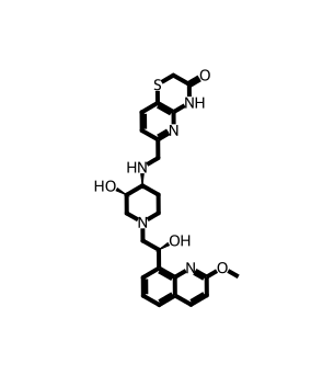 COc1ccc2cccc([C@H](O)CN3CC[C@H](NCc4ccc5c(n4)NC(=O)CS5)[C@H](O)C3)c2n1